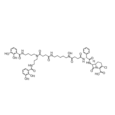 O=C(CCC(=O)N(CCCCNC(=O)c1cccc(O)c1O)CCCNC(=O)c1cccc(O)c1O)NCCCCCN(O)C(=O)CCC(=O)N[C@@H](C(=O)N[C@@H]1C(=O)N2C(C(=O)O)=C(Cl)CC[C@H]12)c1ccccc1